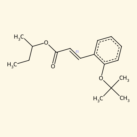 CCC(C)OC(=O)/C=C/c1ccccc1OC(C)(C)C